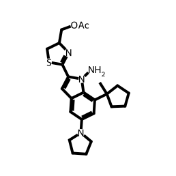 CC(=O)OCC1CSC(c2cc3cc(N4CCCC4)cc(C4(C)CCCC4)c3n2N)=N1